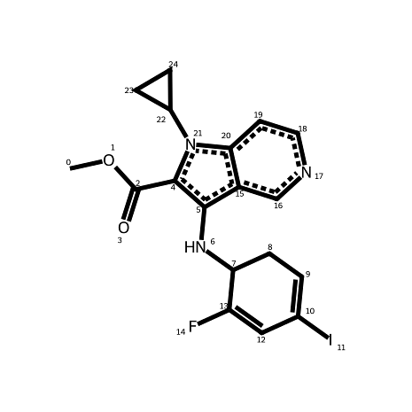 COC(=O)c1c(NC2CC=C(I)C=C2F)c2cnccc2n1C1CC1